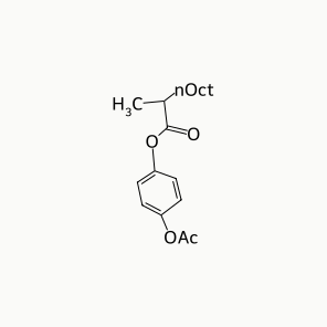 CCCCCCCCC(C)C(=O)Oc1ccc(OC(C)=O)cc1